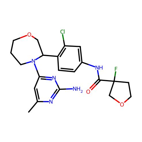 Cc1cc(N2CCCOCC2c2ccc(NC(=O)C3(F)CCOC3)cc2Cl)nc(N)n1